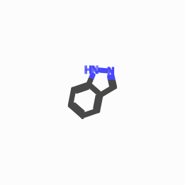 [c]1ccc2[nH]ncc2c1